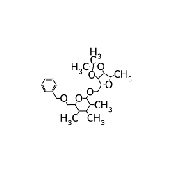 CC1OC(COC2OC(COCc3ccccc3)C(C)C(C)C2C)C2OC(C)(C)OC12